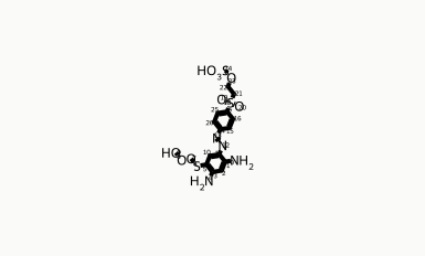 Nc1cc(N)c(SOOO)cc1N=Nc1ccc(S(=O)(=O)CCOS(=O)(=O)O)cc1